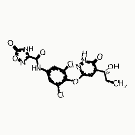 CC[C@@H](O)c1cc(Oc2c(Cl)cc(NC(=O)c3noc(=O)[nH]3)cc2Cl)n[nH]c1=O